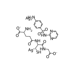 NC(CCC(=O)NC(CS)C(=O)NCC(=O)[O-])C(=O)[O-].Nc1ccc(S(=O)(=O)Nc2ncccn2)cc1.[Ag+].[Ag+]